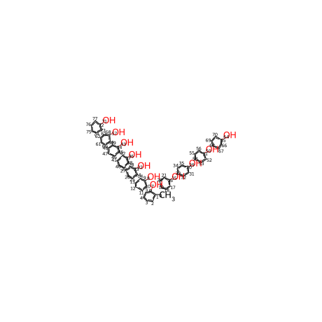 Cc1ccccc1O.Oc1ccccc1.Oc1ccccc1.Oc1ccccc1.Oc1ccccc1.Oc1ccccc1.Oc1ccccc1.Oc1ccccc1.Oc1ccccc1.Oc1ccccc1.Oc1ccccc1